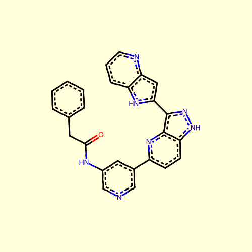 O=C(Cc1ccccc1)Nc1cncc(-c2ccc3[nH]nc(-c4cc5ncccc5[nH]4)c3n2)c1